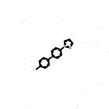 Cc1ccc(-c2ccc(-n3cccn3)cc2)cc1